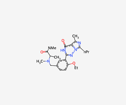 CCCc1nc(C)c2c(=O)[nH]c(-c3cc(CN(C)C(C)C(=O)NC)ccc3OCC)nn12